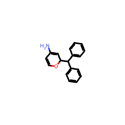 NC1=CC(C(c2ccccc2)c2ccccc2)OC=C1